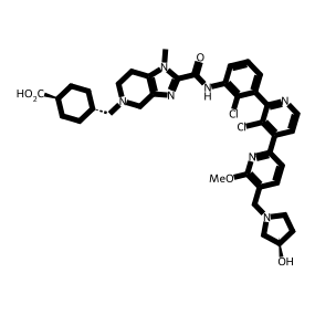 COc1nc(-c2ccnc(-c3cccc(NC(=O)c4nc5c(n4C)CCN(C[C@H]4CC[C@H](C(=O)O)CC4)C5)c3Cl)c2Cl)ccc1CN1CC[C@@H](O)C1